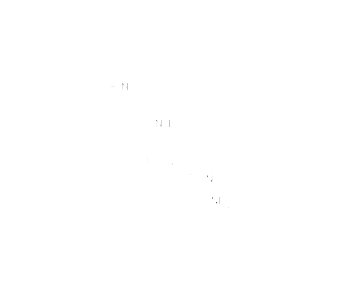 Nc1ccn(-c2ccc(CNC3CCC(N)CC3)c(Cl)c2)c(=O)n1